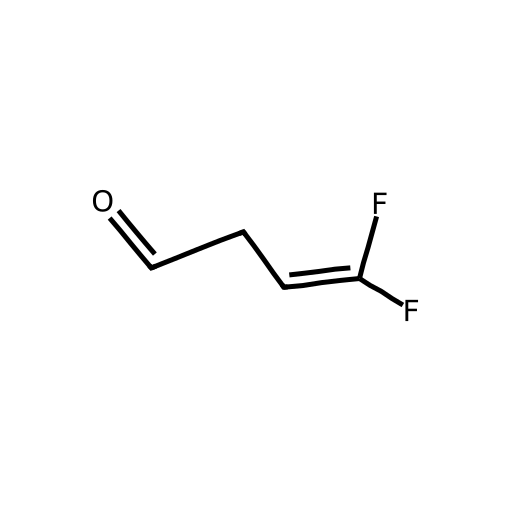 O=CCC=C(F)F